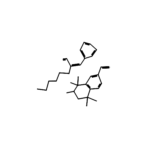 CC1CC(C)(C)c2ccc(C=O)cc2C1(C)C.CCCCCCC(C=O)=Cc1ccccc1